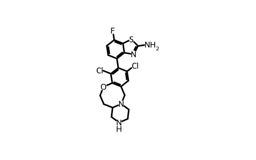 Nc1nc2c(-c3c(Cl)cc4c(c3Cl)OCCC3CNCCN3C4)ccc(F)c2s1